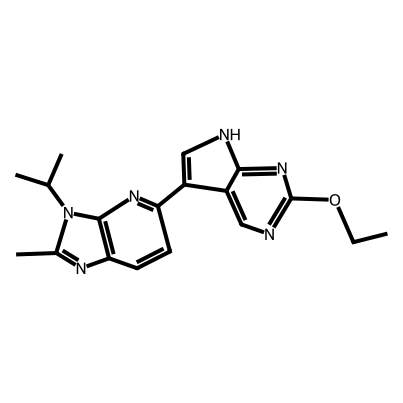 CCOc1ncc2c(-c3ccc4nc(C)n(C(C)C)c4n3)c[nH]c2n1